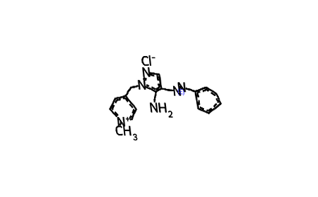 C[n+]1ccc(Cn2ncc(/N=N/c3ccccc3)c2N)cc1.[Cl-]